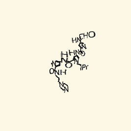 CC(C)CCn1cc(NC(=O)c2cc(NC=O)cn2C)cc1C(=O)Nc1cc(C(=O)NCCCN2CCN(C)CC2)n(C)c1